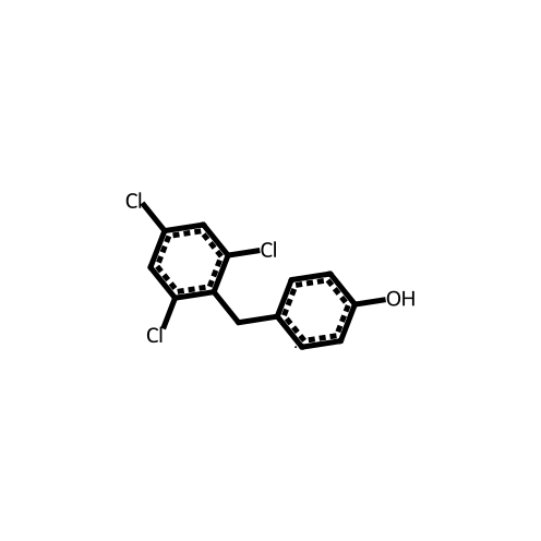 Oc1c[c]c(Cc2c(Cl)cc(Cl)cc2Cl)cc1